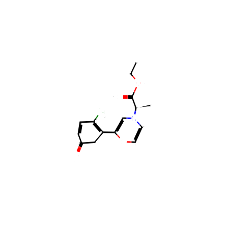 CCOC(=O)[C@@H](C)N1C=COC(C2=C(Br)C=CC(=O)C2)=C1